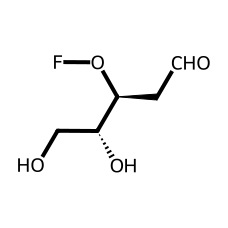 O=CC[C@H](OF)[C@H](O)CO